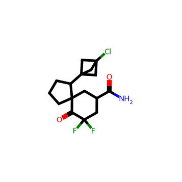 NC(=O)C1CC(F)(F)C(=O)C2(CCCC2C23CC(Cl)(C2)C3)C1